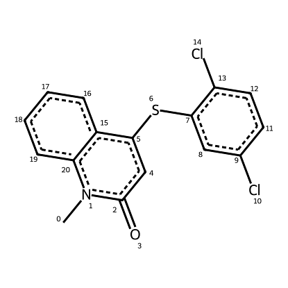 Cn1c(=O)cc(Sc2cc(Cl)ccc2Cl)c2ccccc21